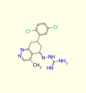 Cc1cnnc2c1C(=NNC(=N)N)CC(c1cc(Cl)ccc1Cl)C2